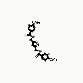 COc1ccc(C(=O)NCc2cc(CNC(=O)c3ccc(OC)cc3)on2)cc1